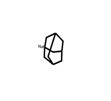 C1C2CC3CC1CC(C2)C3.[NaH]